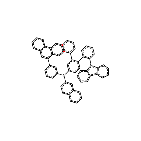 c1ccc(-c2cc(N(c3cccc(-c4cc5ccccc5c5ccccc45)c3)c3ccc4ccccc4c3)ccc2-c2ccccc2-n2c3ccccc3c3ccccc32)cc1